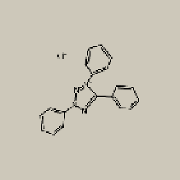 [Cl-].c1ccc(-c2nn(-c3ccccc3)n[n+]2-c2ccccc2)cc1